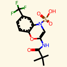 CC(C)(C)C(=O)NC1=CN(S(=O)(=O)O)c2cc(C(F)(F)F)ccc2O1